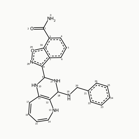 NC(=O)c1cccc2c(C3NC4=C(NC=CC=C4)C(NCc4ccccc4)N3)noc12